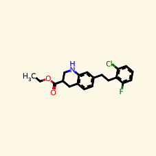 CCOC(=O)C1CNc2cc(CCc3c(F)cccc3Cl)ccc2C1